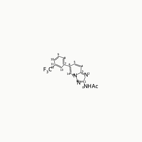 CC(=O)Nc1nc2ccc(-c3cccc(C(F)(F)F)c3)cn2n1